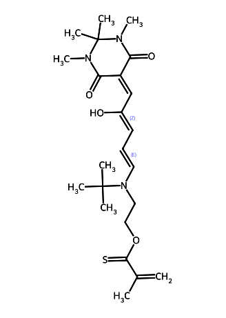 C=C(C)C(=S)OCCN(/C=C/C=C(\O)C=C1C(=O)N(C)C(C)(C)N(C)C1=O)C(C)(C)C